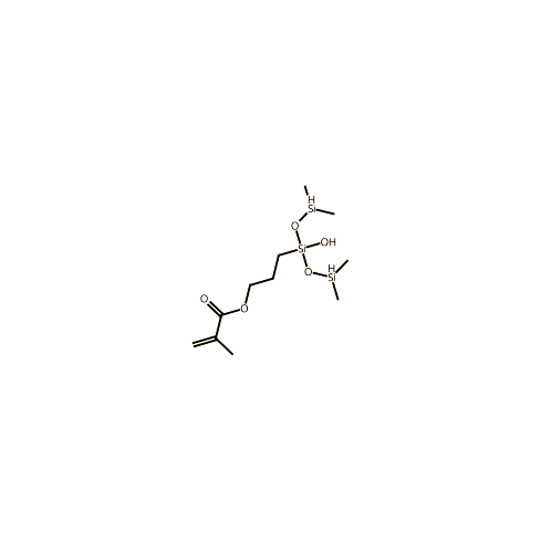 C=C(C)C(=O)OCCC[Si](O)(O[SiH](C)C)O[SiH](C)C